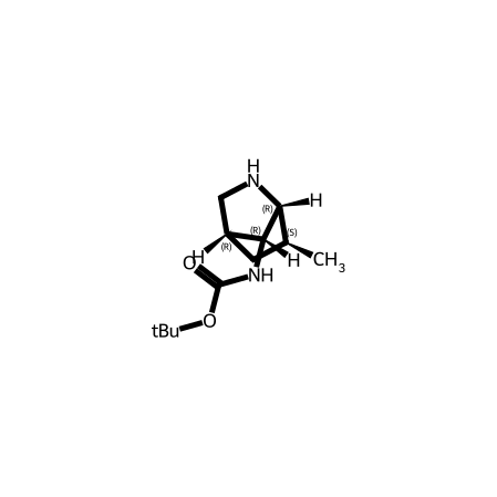 C[C@H]1C[C@@H]2CN[C@H]1[C@@H]2NC(=O)OC(C)(C)C